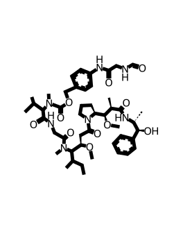 CCC(C)C([C@@H](CC(=O)N1CCC[C@H]1[C@H](OC)[C@@H](C)C(=O)N[C@H](C)[C@@H](O)c1ccccc1)OC)N(C)C(=O)CNC(=O)C(C(C)C)N(C)C(=O)OCc1ccc(NC(=O)CNC=O)cc1